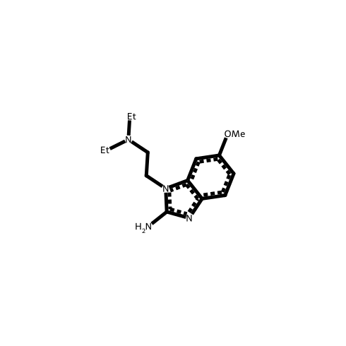 CCN(CC)CCn1c(N)nc2ccc(OC)cc21